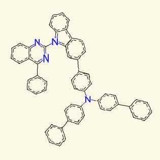 c1ccc(-c2ccc(N(c3ccc(-c4ccccc4)cc3)c3ccc(-c4ccc5c6ccccc6n(-c6nc(-c7ccccc7)c7ccccc7n6)c5c4)cc3)cc2)cc1